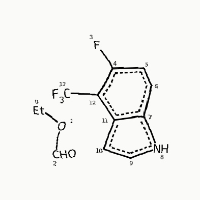 CCOC=O.Fc1ccc2[nH]ccc2c1C(F)(F)F